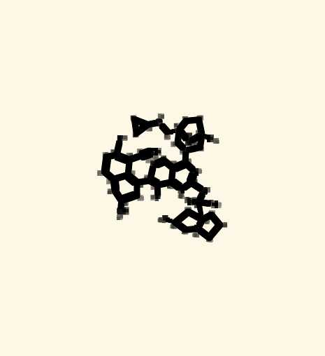 [2H]C([2H])(Oc1nc(N2C[C@@H]3CC[C@](COC4CC4)(C2)N3)c2cnc(-c3cc(O)cc4ccc(F)c(C#C)c34)c(F)c2n1)[C@@]12CCCN1C[C@H](F)C2